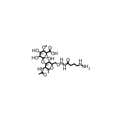 CO[C@@H]1C(C(=O)O)O[C@@H](O[C@@H]2C(NC(C)=O)[C@H](C)OC(CONNC(=O)CCCNN)[C@H]2O)C(O)[C@H]1O